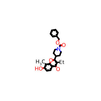 CCc1c(C2CCN(C(=O)OCc3ccccc3)CC2)oc2c(C)c(O)ccc2c1=O